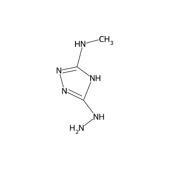 CNc1nnc(NN)[nH]1